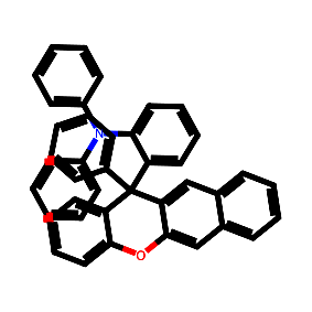 c1ccc(N(c2ccccc2)c2ccccc2C2(c3ccccc3)c3ccccc3Oc3cc4ccccc4cc32)cc1